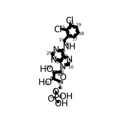 O=P(O)(O)OC[C@H]1O[C@@H](n2cnc3c(NCc4cccc(Cl)c4Cl)ncnc32)[C@H](O)[C@@H]1O